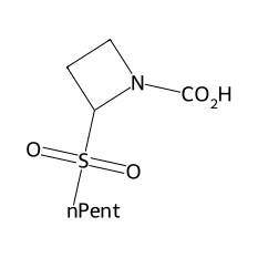 CCCCCS(=O)(=O)C1CCN1C(=O)O